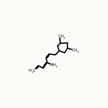 C=C/C=C(N)\C=C/CC1CC(C)CC(C)C1